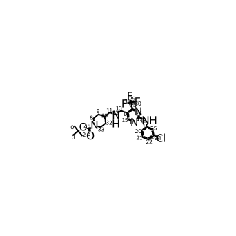 CC(C)(C)OC(=O)N1CCC(CNCc2cnc(Nc3cccc(Cl)c3)nc2C(F)(F)F)CC1